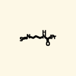 CC(C)C(=O)NCCCN=C=S